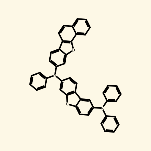 c1ccc(N(c2ccc3c(c2)oc2ccc(N(c4ccccc4)c4ccccc4)cc23)c2ccc3c(c2)oc2c4ccccc4ccc32)cc1